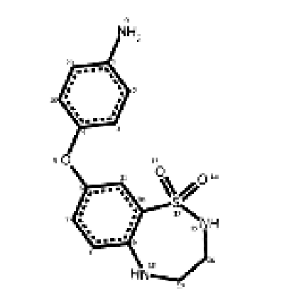 Nc1ccc(Oc2ccc3c(c2)S(=O)(=O)NCCN3)cc1